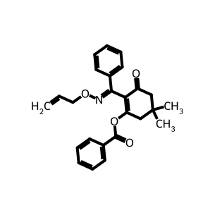 C=CCON=C(C1=C(OC(=O)c2ccccc2)CC(C)(C)CC1=O)c1ccccc1